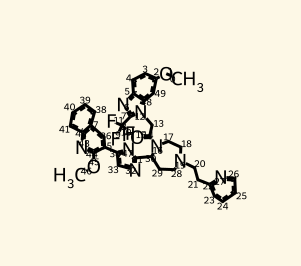 COc1ccc2nc(C(F)(F)F)n(CC(=O)N3CCN(CCc4ccccn4)CCC3c3ncc(-c4cc5ccccc5nc4OC)[nH]3)c2c1